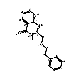 O=c1[nH]c(COCCc2ccccc2)nc2ncccc12